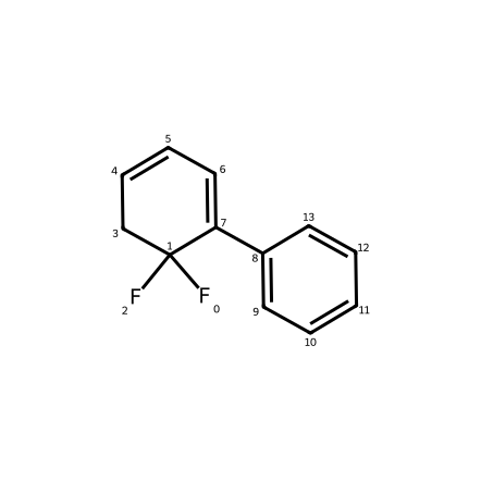 FC1(F)CC=CC=C1c1ccccc1